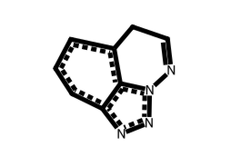 C1=Nn2nnc3cccc(c32)C1